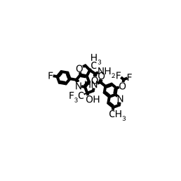 Cc1cnc2c(OC(F)F)cc(C(=O)NC[C@](O)(c3cc4c(c(-c5ccc(F)cc5)n3)OC[C@]4(C)C(N)=O)C(F)(F)F)cc2c1